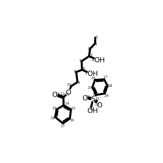 CCCC(O)CC(O)CCCOC(=O)c1ccccc1.O=S(=O)(O)c1ccccc1